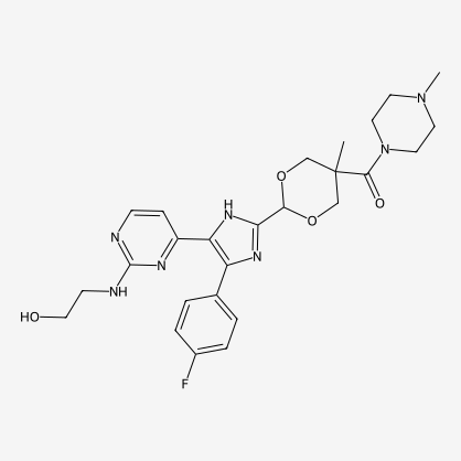 CN1CCN(C(=O)C2(C)COC(c3nc(-c4ccc(F)cc4)c(-c4ccnc(NCCO)n4)[nH]3)OC2)CC1